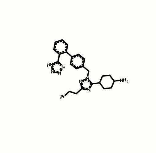 CC(C)CCc1nc(C2CCC(N)CC2)n(Cc2ccc(-c3ccccc3-c3nnn[nH]3)cc2)n1